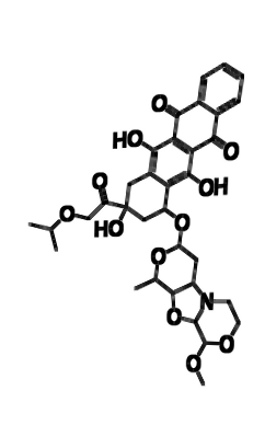 COC1OCCN2C3CC(OC4CC(O)(C(=O)COC(C)C)Cc5c(O)c6c(c(O)c54)C(=O)c4ccccc4C6=O)OC(C)C3OC12